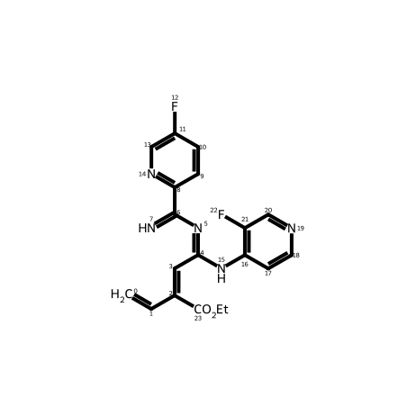 C=C/C(=C/C(=N\C(=N)c1ccc(F)cn1)Nc1ccncc1F)C(=O)OCC